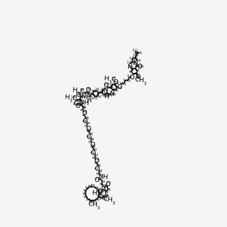 COc1cc2c(cc1OCCCCCOc1cc3c(cc1OC)C(=O)N1C=C(c4ccc(NC(=O)[C@@H](C)NC(=O)[C@H](NC(=O)CCOCCOCCOCCOCCOCCOCCOCCOCCNC(=O)CCN5C(=O)CC(SC(C)(C)CC6CCCCCCCCCCC(C)CC6)C5=O)C(C)C)cc4)C[C@@H]1C=N3)N=CC1CC(C3CC3)=CN1C2=O